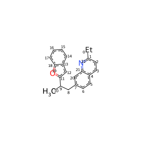 CCc1ccc2ccc(CC(C)c3cc4ccccc4o3)cc2n1